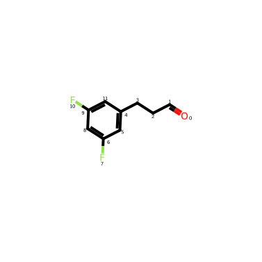 O=CCCc1cc(F)cc(F)c1